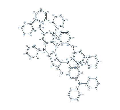 c1ccc(N(c2ccccc2)c2cc3c4c(c2)N(c2ccccc2)c2cccc5c2B4c2cc4c(cc2O3)N(c2ccccc2)c2cc(-n3c6ccccc6c6ccccc63)cc3c2B4c2c(cccc2N3c2ccccc2)O5)cc1